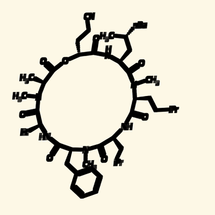 CCCC[C@@H](C)C[C@@H]1NC(=O)[C@@H](CCC#N)OC(=O)[C@H](C)N(C)C(=O)[C@H](CC)NC(=O)[C@H](Cc2ccccc2)N(C)C(=O)[C@H](CC(C)C)NC(=O)[C@H](CCC(C)C)N(C)C1=O